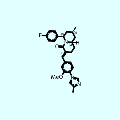 COc1cc(/C=C2\CC[C@H]3C[C@H](C)C[C@H](c4ccc(F)cc4)N3C2=O)ccc1-n1cnc(C)c1